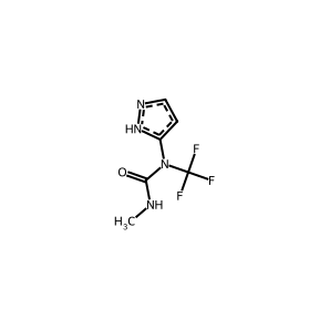 CNC(=O)N(c1ccn[nH]1)C(F)(F)F